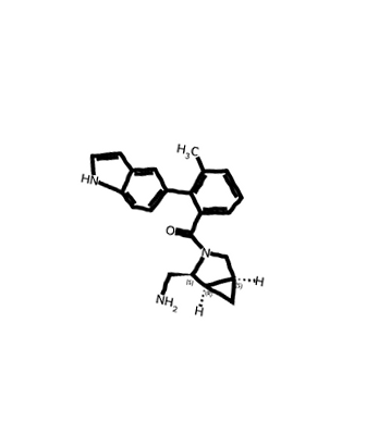 Cc1cccc(C(=O)N2C[C@H]3C[C@H]3[C@H]2CN)c1-c1ccc2[nH]ccc2c1